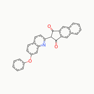 O=C1c2cc3ccccc3cc2C(=O)C1c1ccc2ccc(Oc3ccccc3)cc2n1